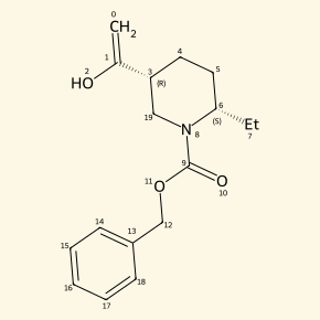 C=C(O)[C@@H]1CC[C@H](CC)N(C(=O)OCc2ccccc2)C1